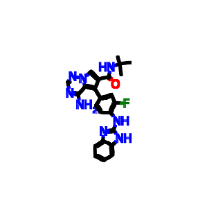 CC(C)(C)NC(=O)c1cn2ncnc(N)c2c1-c1ccc(Nc2nc3ccccc3[nH]2)c(F)c1